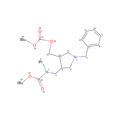 CC(C)N(CC1CN(Cc2ccccc2)CC1COC(=O)OC(C)(C)C)C(=O)OC(C)(C)C